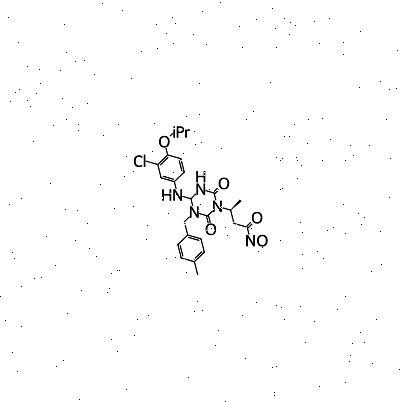 Cc1ccc(CN2C(=O)N([C@@H](C)CC(=O)N=O)C(=O)NC2Nc2ccc(OC(C)C)c(Cl)c2)cc1